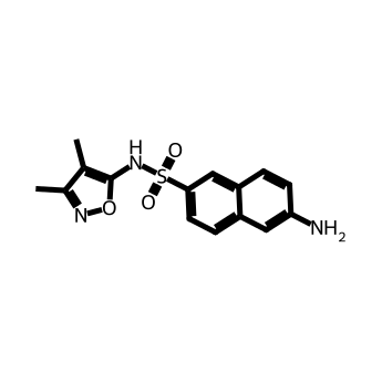 Cc1noc(NS(=O)(=O)c2ccc3cc(N)ccc3c2)c1C